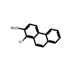 COc1ccc2c(ccc3ccccc32)c1Br